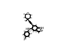 CC1(C#Cc2cc3[nH]ncc3cc2Nc2ccc(F)cc2)CCOCC1